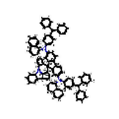 c1ccc(C(c2ccccc2)c2ccc(N(c3ccc4c(c3)C3(c5cc(N(c6ccc(C(c7ccccc7)c7ccccc7)cc6)c6cccc7ccccc67)ccc5-4)c4ccccc4-n4c5ccccc5c5cccc3c54)c3cccc4ccccc34)cc2)cc1